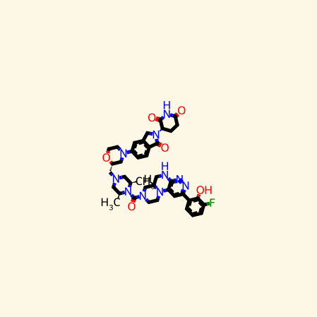 C[C@@H]1CN(C[C@H]2CN(c3ccc4c(c3)CN([C@H]3CCC(=O)NC3=O)C4=O)CCO2)C[C@H](C)N1C(=O)N1CCN2c3cc(-c4cccc(F)c4O)nnc3NC[C@@H]2C1